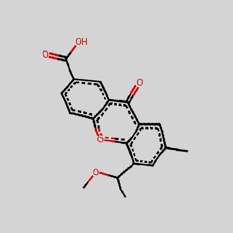 COC(C)c1cc(C)cc2c(=O)c3cc(C(=O)O)ccc3oc12